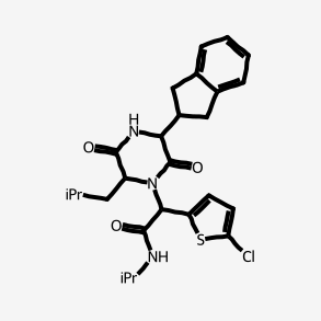 CC(C)CC1C(=O)NC(C2Cc3ccccc3C2)C(=O)N1C(C(=O)NC(C)C)c1ccc(Cl)s1